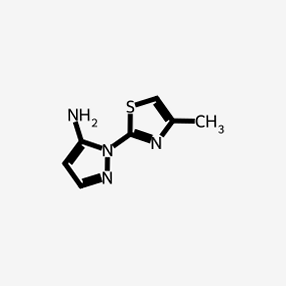 Cc1csc(-n2nccc2N)n1